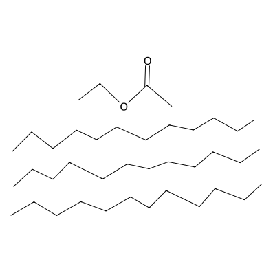 CCCCCCCCCCCC.CCCCCCCCCCCC.CCCCCCCCCCCC.CCOC(C)=O